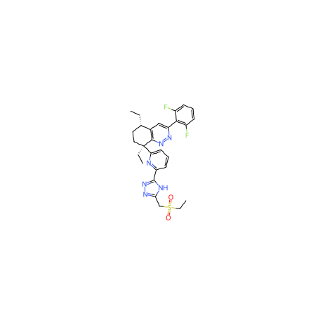 CC[C@H]1CC[C@](CC)(c2cccc(-c3nnc(CS(=O)(=O)CC)[nH]3)n2)c2nnc(-c3c(F)cccc3F)cc21